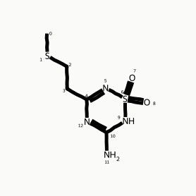 CSCCC1=NS(=O)(=O)NC(N)=N1